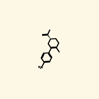 C=C(C)[C@@H]1CCC(C)=C(c2ccc(N)cc2)C1